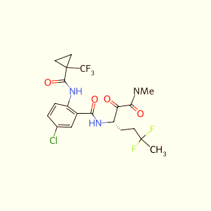 CNC(=O)C(=O)[C@H](CCC(C)(F)F)NC(=O)c1cc(Cl)ccc1NC(=O)C1(C(F)(F)F)CC1